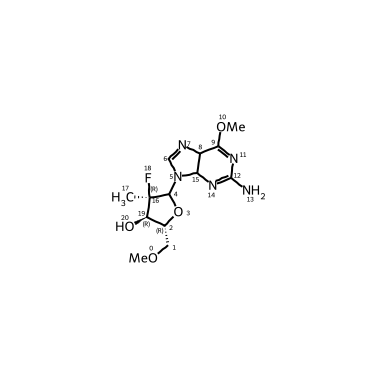 COC[C@H]1OC(N2C=NC3C(OC)=NC(N)=NC32)[C@](C)(F)[C@@H]1O